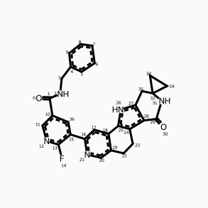 O=C(NCc1ccccc1)c1cnc(F)c(-c2cc3c(cn2)CCc2c-3[nH]c3c2C(=O)NC2(CC2)C3)c1